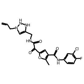 C=CCN1C=C(CNC(=O)C(=O)c2cc(C(=O)Nc3ccc(F)c(Cl)c3)c(C)o2)NN1